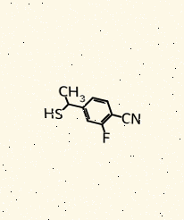 CC(S)c1ccc(C#N)c(F)c1